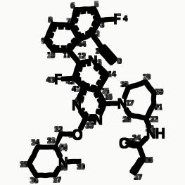 C#Cc1c(F)ccc2cccc(-c3ncc4c(N5CCCCC(NC(=O)C=C)C5)nc(OC[C@@H]5CCCCN5C)nc4c3F)c12